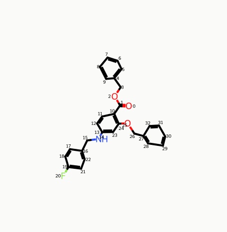 O=C(OCc1ccccc1)c1ccc(NCc2ccc(F)cc2)cc1OCc1ccccc1